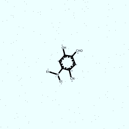 CCN(CC)c1cc(O)c(C=O)cc1C#N